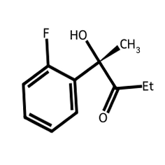 CCC(=O)[C@@](C)(O)c1ccccc1F